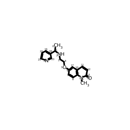 CC(NCCOc1ccc2c(ccc(=O)n2C)c1)c1cccnc1